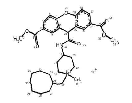 COC(=O)c1ccc2c(c1)C(C(=O)NC1CC[N+](C)(CC3CCCCCCC3)CC1)c1cc(C(=O)OC)ccc1O2.[I-]